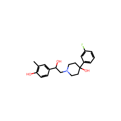 Cc1cc(C(O)CN2CCC(O)(c3cccc(F)c3)CC2)ccc1O